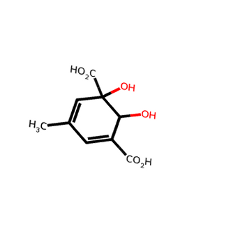 CC1=CC(O)(C(=O)O)C(O)C(C(=O)O)=C1